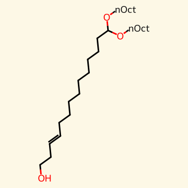 CCCCCCCCOC(CCCCCCCCC/C=C/CCO)OCCCCCCCC